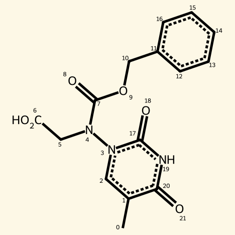 Cc1cn(N(CC(=O)O)C(=O)OCc2ccccc2)c(=O)[nH]c1=O